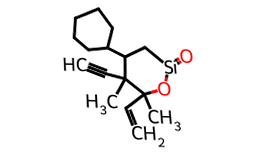 C#CC1(C)C(C2CCCCC2)C[Si](=O)OC1(C)C=C